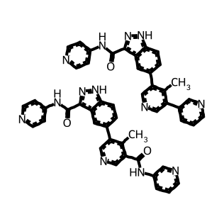 Cc1c(-c2cccnc2)cncc1-c1ccc2[nH]nc(C(=O)Nc3ccncc3)c2c1.Cc1c(C(=O)Nc2cccnc2)cncc1-c1ccc2[nH]nc(C(=O)Nc3ccncc3)c2c1